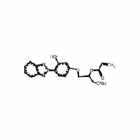 C=CC(=O)OC(COC)COc1ccc(-n2nc3ccccc3n2)c(O)c1